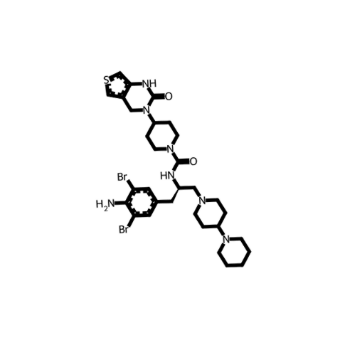 Nc1c(Br)cc(C[C@H](CN2CCC(N3CCCCC3)CC2)NC(=O)N2CCC(N3Cc4cscc4NC3=O)CC2)cc1Br